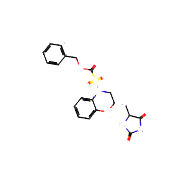 O=C1NC(=O)C(C[C@H]2CN(S(=O)(=O)C(=O)OCc3ccccc3)c3ccccc3O2)N1